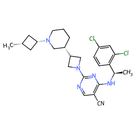 C[C@@H](Nc1nc(N2CC([C@H]3CCCN([C@H]4C[C@@H](C)C4)C3)C2)ncc1C#N)c1ccc(Cl)cc1Cl